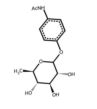 CC(=O)Nc1ccc(OC2O[C@H](C)[C@@H](O)[C@H](O)[C@H]2O)cc1